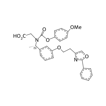 COc1ccc(OC(=O)N(CC(=O)O)[C@@H](C)c2cccc(OCCc3coc(-c4ccccc4)n3)c2)cc1